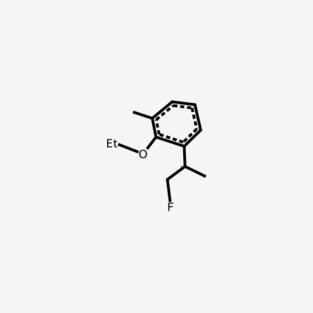 CCOc1c(C)cccc1[C](C)CF